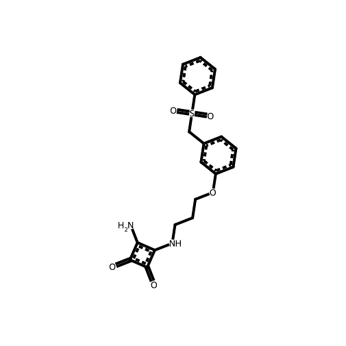 Nc1c(NCCCOc2cccc(CS(=O)(=O)c3ccccc3)c2)c(=O)c1=O